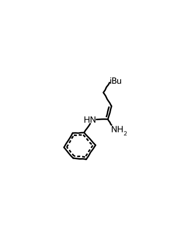 CCC(C)C/C=C(/N)Nc1ccccc1